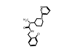 CN(C(=O)NCc1ccccc1Cl)C1CCCN(c2cccnn2)C1